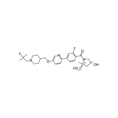 CC(C)(F)CN1CCC(COc2ccc(-c3ccc(C(=O)N4C[C@H](O)C[C@@]4(C)C(=O)O)c(F)c3)nc2)CC1